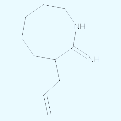 C=CCC1CCCCCNC1=N